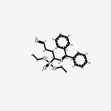 CCOP(=O)(OCC)C(CCC=O)N=C(c1ccccc1)c1ccccc1